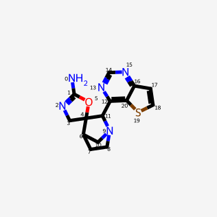 NC1=NCC2(O1)C1CCN(C1)C2c1ncnc2ccsc12